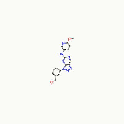 COCc1cccc(-n2nnc3cnc(Nc4ccc(OC)nc4)nc32)c1